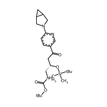 CC(C)(C)OC(=O)NC[C@H](CC(=O)c1ccc(N2CC3CC3C2)nc1)O[Si](C)(C)C(C)(C)C